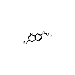 [CH2]CC1C=Nc2cc(OC(F)(F)F)ccc2C1